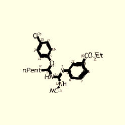 CCCCCC(N/C(=N/c1cccc(C(=O)OCC)c1)NC#N)Oc1ccc(Cl)cc1